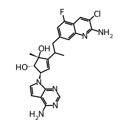 CC(Cc1cc(F)c2cc(Cl)c(N)nc2c1)C1=C[C@@H](n2ccc3c(N)ncnc32)[C@H](O)[C@]1(C)O